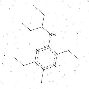 CCc1nc(NC(CC)CC)c(CC)nc1I